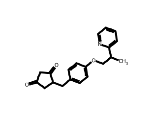 CC(COc1ccc(CC2CC(=O)CC2=O)cc1)c1ccccn1